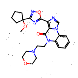 COC1(c2noc(-c3ncn4c3c(=O)n(CCN3CCOCC3)c3ccccc34)n2)CCCC1